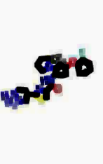 N/C=C\C(=C/N)c1nc(C(=O)Nc2ccc(Oc3ccccc3F)c(C(F)(F)F)c2N2CCCC2)cs1